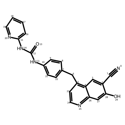 N#Cc1cc2c(Cc3ccc(NC(=O)Nc4ccccn4)cc3)ccnc2cc1O